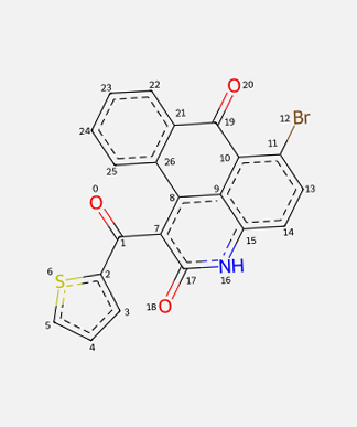 O=C(c1cccs1)c1c2c3c(c(Br)ccc3[nH]c1=O)C(=O)c1ccccc1-2